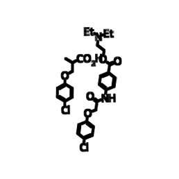 CC(COc1ccc(Cl)cc1)C(=O)O.CCN(CC)CCOC(=O)c1ccc(NC(=O)COc2ccc(Cl)cc2)cc1